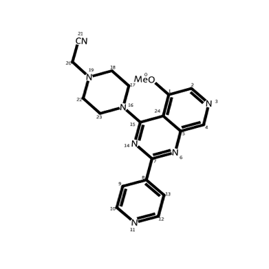 COc1cncc2nc(-c3ccncc3)nc(N3CCN(CC#N)CC3)c12